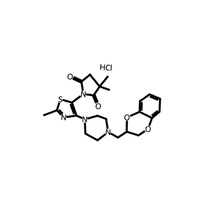 Cc1nc(N2CCN(CC3COc4ccccc4O3)CC2)c(N2C(=O)CC(C)(C)C2=O)s1.Cl